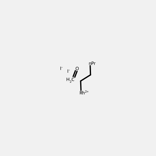 C=O.CCCC[CH2][Rh+2].[I-].[I-]